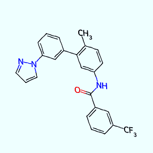 Cc1ccc(NC(=O)c2cccc(C(F)(F)F)c2)cc1-c1cccc(-n2cccn2)c1